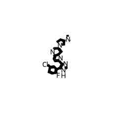 CN(C)[C@H]1CCN(c2cnc3ccc(-c4nc[nH]c4-c4cc(Cl)ccc4F)nc3c2)C1